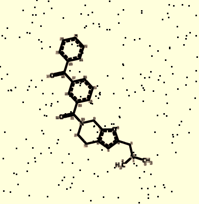 CN(C)Cc1cc2c(o1)CN(C(=O)c1cccc(C(=O)c3ccccc3)c1)CC2